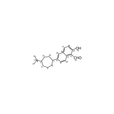 CN(C)C1CCCC(c2ccc3c(C=O)c(O)ccc3c2)CC1